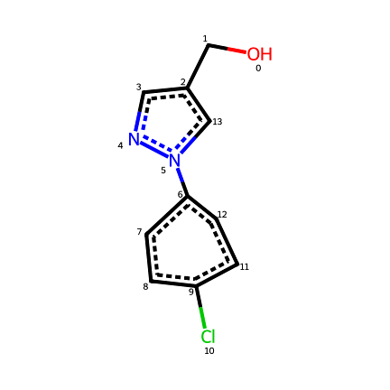 OCc1cnn(-c2ccc(Cl)cc2)c1